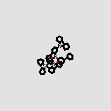 c1ccc(-c2cccc(-n3c4cc(-n5c6ccccc6c6ccccc65)ccc4c4cccc(-n5c6ccccc6c6cccc([Si](c7ccccc7)(c7ccccc7)c7ccccc7)c65)c43)c2)cc1